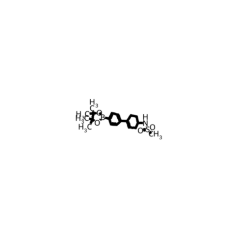 CC1(C)OB(c2ccc(C3=CCC(NS(C)(=O)=O)CC3)cc2)OC1(C)C